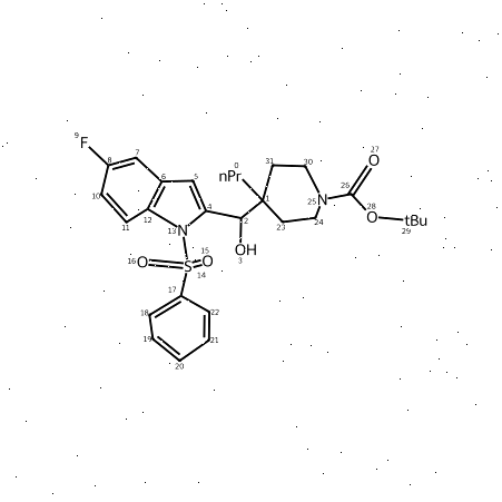 CCCC1(C(O)c2cc3cc(F)ccc3n2S(=O)(=O)c2ccccc2)CCN(C(=O)OC(C)(C)C)CC1